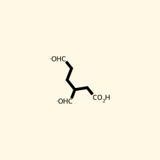 O=[C]CCC([C]=O)CC(=O)O